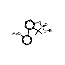 CCOP1(=O)Oc2cccc(-c3ccccc3OC)c2C1(C)C